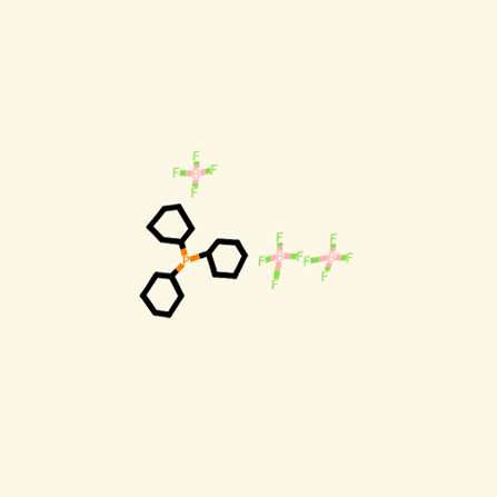 C1CCC(P(C2CCCCC2)C2CCCCC2)CC1.F[B-](F)(F)F.F[B-](F)(F)F.F[B-](F)(F)F